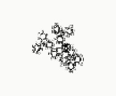 c1ccc(-n2c3ccccc3c3ccc(-c4cccc5c(-c6cccc7c6-c6c(ccc8ccccc68)C76c7ccccc7-c7ccccc76)c6cccc(-c7ccc8c9ccccc9n(-c9ccccc9)c8c7)c6cc45)cc32)cc1